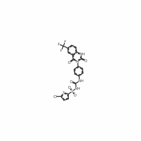 O=C(Nc1ccc(-n2c(=O)[nH]c3ccc(C(F)(F)F)cc3c2=O)cc1)NS(=O)(=O)c1ccc(Cl)s1